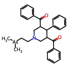 C[As](C)CCN1CC(C(=O)c2ccccc2)C(c2ccccc2)C(C(=O)c2ccccc2)C1